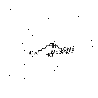 CCCCCCCCCCCCCCCCCC(C)NCCC[Si](OC)(OC)OC.Cl